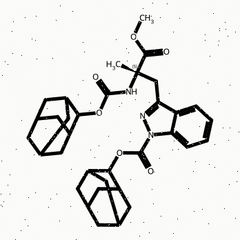 COC(=O)[C@](C)(Cc1nn(C(=O)OC2C3CC4CC(C3)CC2C4)c2ccccc12)NC(=O)OC1C2CC3CC(C2)CC1C3